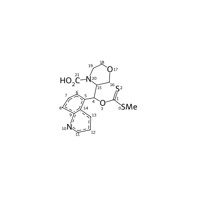 CSC(=S)OC(c1cccc2ncccc12)C1COCCN1C(=O)O